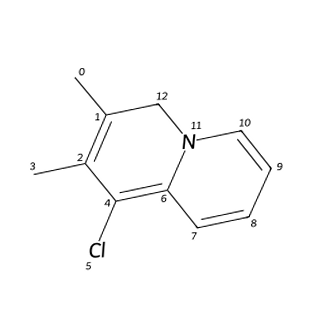 CC1=C(C)C(Cl)=C2C=CC=CN2C1